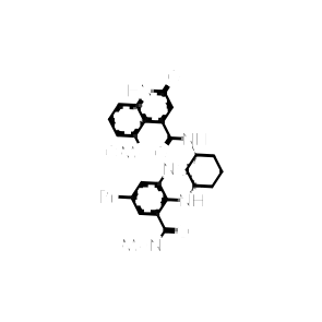 CNC(=O)c1cc(Br)cc([N+](=O)[O-])c1N[C@@H]1CCC[C@H](NC(=O)c2cc(=O)[nH]c3cccc(OC)c23)C1